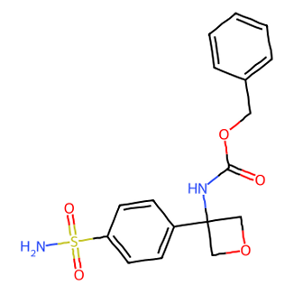 NS(=O)(=O)c1ccc(C2(NC(=O)OCc3ccccc3)COC2)cc1